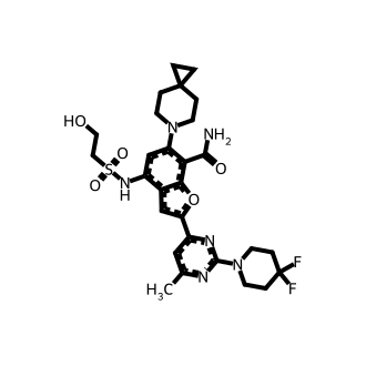 Cc1cc(-c2cc3c(NS(=O)(=O)CCO)cc(N4CCC5(CC4)CC5)c(C(N)=O)c3o2)nc(N2CCC(F)(F)CC2)n1